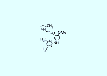 COc1ccc(Nc2nc(C)cc(C)n2)cc1OCCCN1CCCC1C